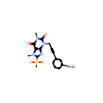 CC(=O)Nc1cccc(C#CCn2c(=O)n(C)c(=O)c3c2nc(S(C)(=O)=O)n3C)c1